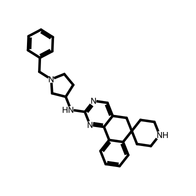 c1ccc(CN2CCC(Nc3ncc4c(n3)-c3ccccc3C3(CCNCC3)C4)C2)cc1